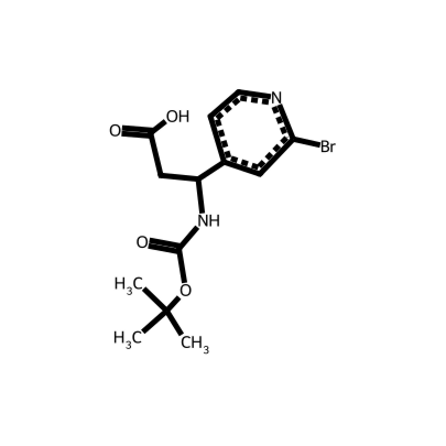 CC(C)(C)OC(=O)NC(CC(=O)O)c1ccnc(Br)c1